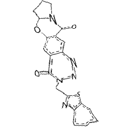 O=C1c2cc3nnn(Cc4nc5ccccc5s4)c(=O)c3cc2OC2CCCN12